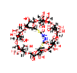 C[C@H]1SC(=O)NNC(=O)SC[C@H]2O[C@@H]3O[C@H]4C(O)C(O)[C@H](O[C@@H]4CO)O[C@H]4C(O)C(O)[C@H](O[C@@H]4CO)O[C@H]4C(O)C(O)[C@H](O[C@@H]4CO)O[C@H]4C(O)C(O)[C@H](O[C@H]14)O[C@H]1C(O)C(O)[C@H](O[C@@H]1CO)O[C@H]1C(O)C(O)[C@H](O[C@@H]1CO)O[C@H]2C(O)C3O